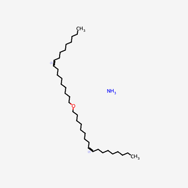 CCCCCCCC/C=C\CCCCCCCCOCCCCCCCC/C=C\CCCCCCCC.N